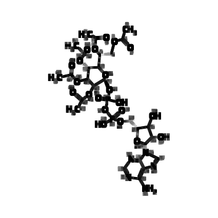 CC(=O)OC[C@@H](OC(C)=O)C1O[C@@H](OP(=O)(O)OP(=O)(O)OC[C@H]2O[C@@H](n3cnc4c(N)ncnc43)C(O)C2O)C(OC(C)=O)C(OC(C)=O)[C@@H]1OC(C)=O